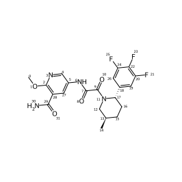 COc1ncc(NC(=O)C(=O)N2C[C@H](C)CC[C@H]2c2cc(F)c(F)c(F)c2)cc1C(N)=O